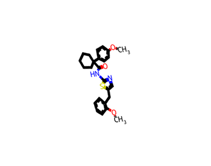 COc1ccc(C2(C(=O)Nc3ncc(Cc4ccccc4OC)s3)CCCCC2)cc1